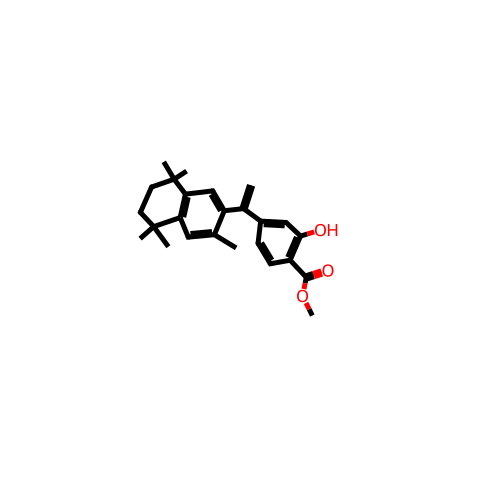 C=C(c1ccc(C(=O)OC)c(O)c1)c1cc2c(cc1C)C(C)(C)CCC2(C)C